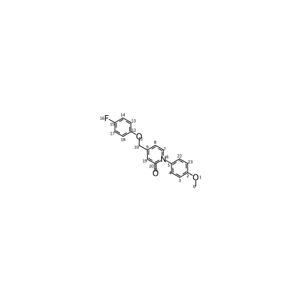 COc1ccc(-n2ccc(COc3ccc(F)cc3)cc2=O)cc1